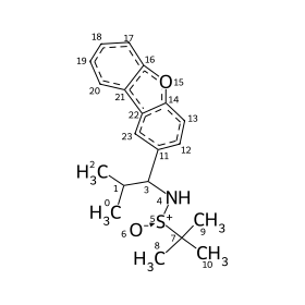 CC(C)C(N[S@+]([O-])C(C)(C)C)c1ccc2oc3ccccc3c2c1